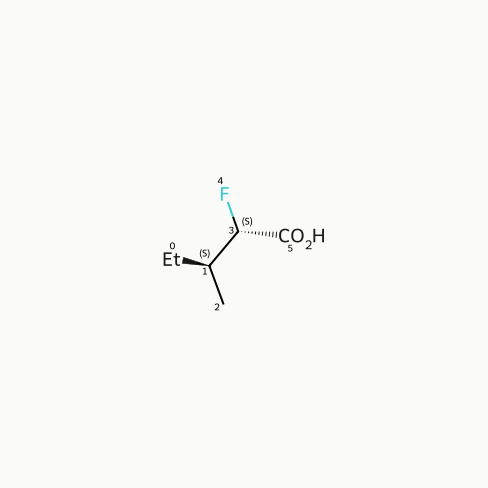 CC[C@H](C)[C@H](F)C(=O)O